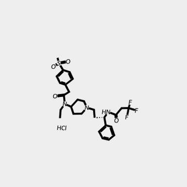 CCN(C(=O)Cc1ccc(S(C)(=O)=O)cc1)C1CCN(CC[C@H](NC(=O)CC(F)(F)F)c2ccccc2)CC1.Cl